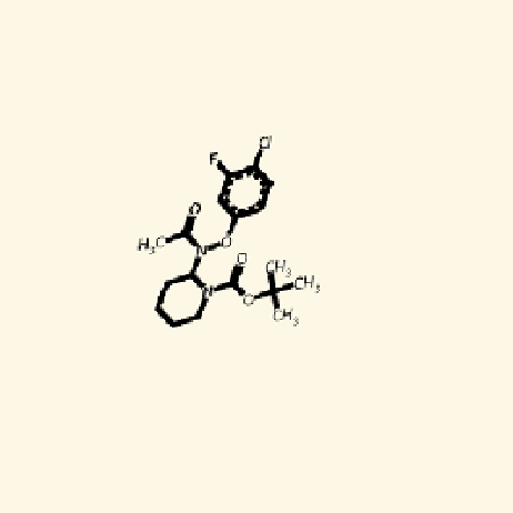 CC(=O)N(Oc1ccc(Cl)c(F)c1)C1CCCCN1C(=O)OC(C)(C)C